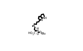 CN(CCCCc1ccc2c(n1)NCCC2)CC[C@H](NC(=O)OC(C)(C)C)C(=O)O